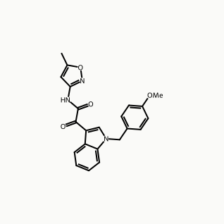 COc1ccc(Cn2cc(C(=O)C(=O)Nc3cc(C)on3)c3ccccc32)cc1